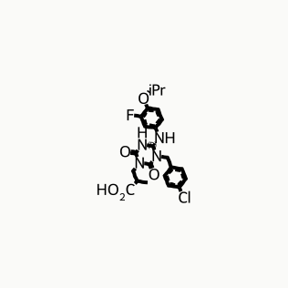 CC(C)Oc1ccc(N[C@@H]2NC(=O)N(CC(C)C(=O)O)C(=O)N2Cc2ccc(Cl)cc2)cc1F